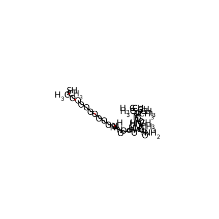 CC(C)[C@H](NC(=O)CON=C(CSC(C)(C)C)CSC(C)(C)C)C(=O)N[C@@H](CCCNC(N)=O)C(=O)Nc1ccc(COC(=O)NCc2cn(CCOCCOCCOCCOCCOCCOCCOCCOCCOCCC(C)(C)CS)nn2)cc1